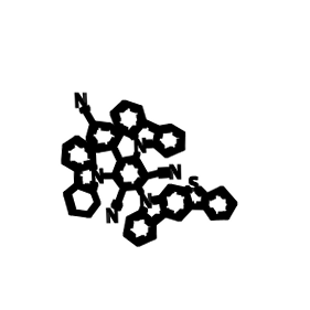 N#Cc1ccc(-c2c(-n3c4c(c5ccccc53)C=CCC4)c(C#N)c(-n3c4ccccc4c4cc5c(cc43)sc3ccccc35)c(C#N)c2-n2c3ccccc3c3ccccc32)cc1